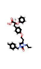 CCCn1c(CCOc2ccc(C[C@](C)(Oc3ccccc3)C(=O)O)cc2)cn(Cc2ccc(C)cc2)c1=O